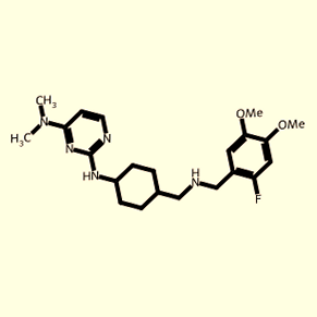 COc1cc(F)c(CNCC2CCC(Nc3nccc(N(C)C)n3)CC2)cc1OC